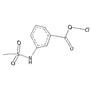 CS(=O)(=O)Nc1cccc(C(=O)OCl)c1